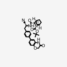 CC(C)(C)OC(=O)N1[C@@H]2CC[C@@H](C2)[C@H]1C(=O)N[C@H](C#N)Cc1ccc(-c2ccc3c(c2)NC(=O)CO3)cc1